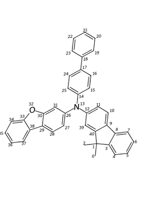 CC1(C)c2ccccc2-c2ccc(N(c3ccc(-c4ccccc4)cc3)c3ccc4c(c3)oc3ccccc34)cc21